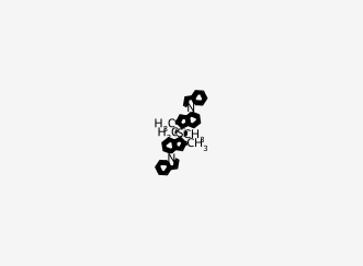 CC1=Cc2c(cccc2-n2ccc3ccccc32)[C@@H]1[Si](C)(C)[C@H]1C(C)=Cc2c1cccc2-n1ccc2ccccc21